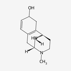 CN1CC[C@]23CCNC[C@H]2[C@H]1CC1=C3CC(O)C=C1